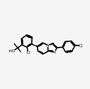 CC(C)(O)c1cccc(-c2ccc3nc(-c4ccc(Cl)cc4)cn3c2)c1Cl